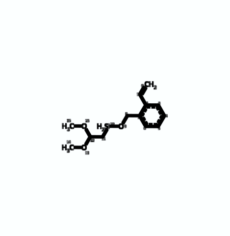 C=Cc1ccccc1CO[SiH2]CC(OC)OC